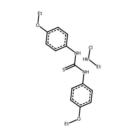 CCOc1ccc(NC(=S)Nc2ccc(OCC)cc2)cc1.C[CH2][InH][Cl]